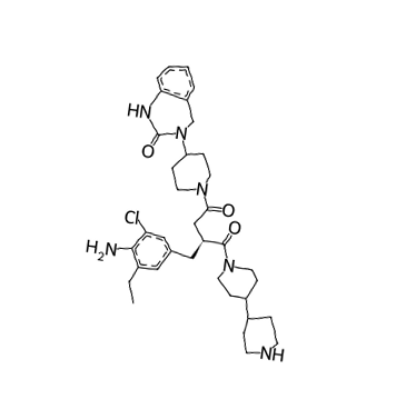 CCc1cc(C[C@@H](CC(=O)N2CCC(N3Cc4ccccc4NC3=O)CC2)C(=O)N2CCC(C3CCNCC3)CC2)cc(Cl)c1N